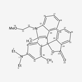 CCN(CC)c1ccc(C2(c3c(C)n(CCOC)c4ccccc34)OC(=O)c3ccccc32)c(C)c1